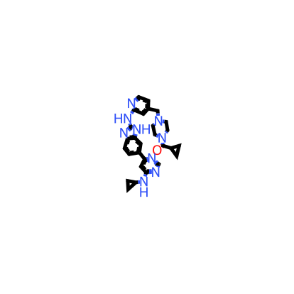 O=C(C1CC1)N1CCN(Cc2ccnc(Nc3nc4ccc(-c5cc(NC6CC6)ncn5)cc4[nH]3)c2)CC1